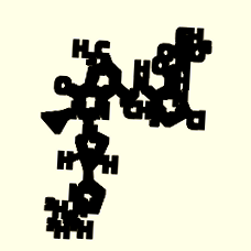 [2H]C([2H])([2H])n1ccc(C2[C@H]3CN(c4nc5c([C@@H](C)Nc6ccc(Cl)nc6C(=O)NS(C)(=O)=O)cc(C)cc5c(=O)n4C4CC4)C[C@@H]23)n1